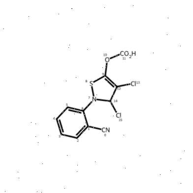 N#Cc1ccccc1N1SC(OC(=O)O)=C(Cl)C1Cl